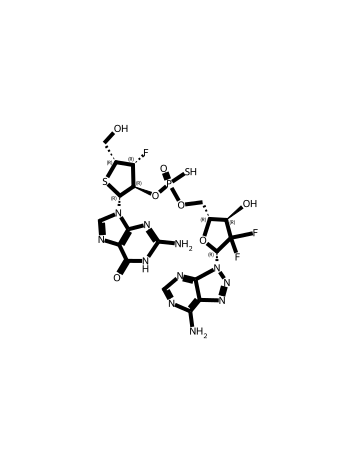 Nc1nc2c(ncn2[C@@H]2S[C@H](CO)[C@H](F)[C@H]2OP(=O)(S)OC[C@H]2O[C@@H](n3nnc4c(N)ncnc43)C(F)(F)[C@@H]2O)c(=O)[nH]1